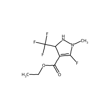 CCOC(=O)C1=C(F)N(C)NC1C(F)(F)F